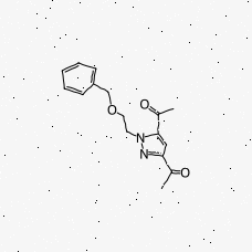 CC(=O)c1cc(C(C)=O)n(CCOCc2ccccc2)n1